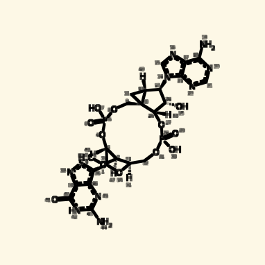 CO[C@H]1[C@H]2OP(=O)(O)OC[C@@]34C[C@@H]3[C@@H](n3cnc5c(N)ncnc53)[C@H](O)[C@@H]4OP(=O)(O)OC[C@H]1O[C@H]2c1snc2c(=O)[nH]c(N)nc12